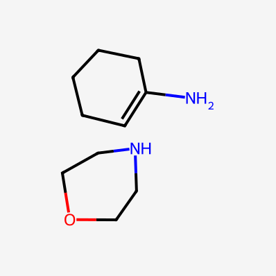 C1COCCN1.NC1=CCCCC1